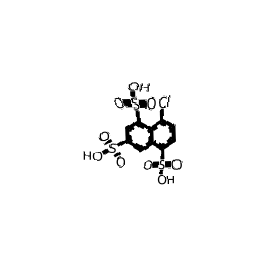 O=S(=O)(O)c1cc(S(=O)(=O)O)c2c(Cl)ccc(S(=O)(=O)O)c2c1